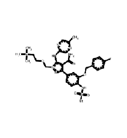 CCS(=O)(=O)Nc1ccc(-c2nn(COCC[Si](C)(C)C)c(Nc3cnc(C)cn3)c2C(N)=O)cc1OCc1ccc(F)cc1